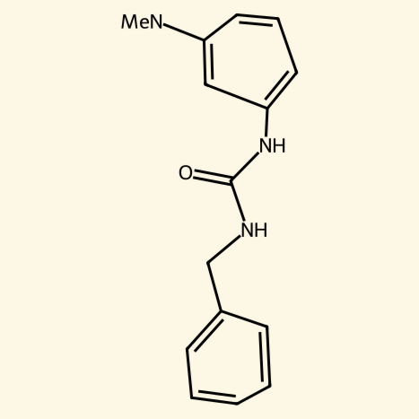 CNc1cccc(NC(=O)NCc2ccccc2)c1